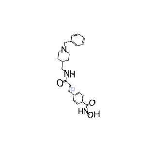 O=C(/C=C/c1ccc(C(=O)NO)cc1)NCC1CCN(Cc2ccccc2)CC1